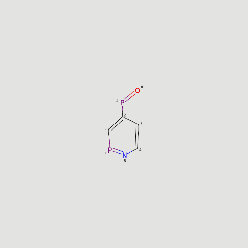 O=Pc1ccnpc1